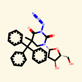 CC1(C(c2ccccc2)(c2ccccc2)c2ccccc2)CN([C@H]2C[C@H](O)[C@@H](CO)O2)C(=O)N(N=[N+]=[N-])C1=O